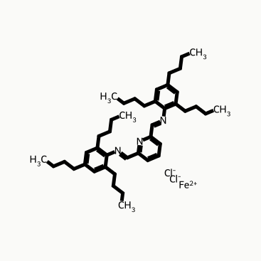 CCCCc1cc(CCCC)c(N=Cc2cccc(C=Nc3c(CCCC)cc(CCCC)cc3CCCC)n2)c(CCCC)c1.[Cl-].[Cl-].[Fe+2]